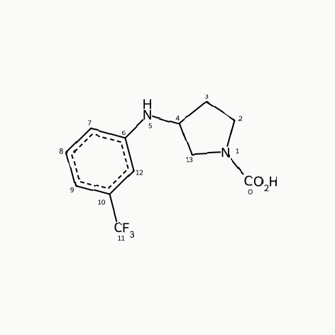 O=C(O)N1CCC(Nc2cccc(C(F)(F)F)c2)C1